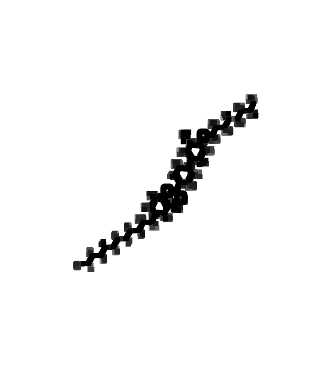 CCCCCCCCCCCCc1ccc(OC(=O)c2ccc(-c3ccc(OCCCCCCCC)c(F)c3)cc2)c(F)c1